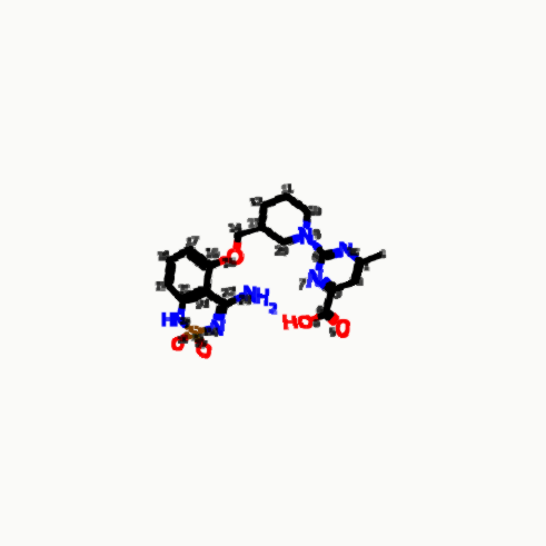 Cc1cc(C(=O)O)nc(N2CCC[C@H](COc3cccc4c3C(N)=NS(=O)(=O)N4)C2)n1